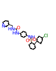 O=C(NCc1cccnc1)Nc1ccc(NS(=O)(=O)c2ccccc2-c2ccc(Cl)cc2)cc1